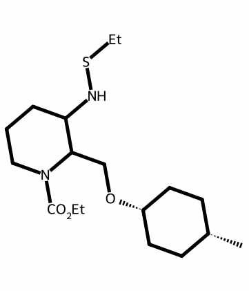 CCOC(=O)N1CCCC(NSCC)C1CO[C@H]1CC[C@@H](C)CC1